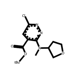 CN(c1nnc(Cl)cc1C(=O)OC(C)(C)C)C1CCOC1